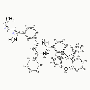 C/C=C\C=C(/N)c1cccc(C2=NC(C3=CC=CCC3)NC(c3ccc4c(c3)C3(c5ccccc5Oc5ccccc53)c3ccccc3-4)N2)c1